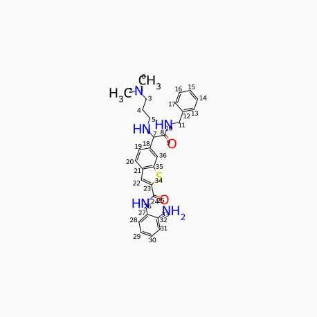 CN(C)CCCNC(C(=O)NCc1ccccc1)c1ccc2cc(C(=O)Nc3ccccc3N)sc2c1